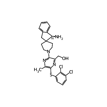 Cc1nc(N2CCC3(CC2)Cc2ccccc2[C@H]3N)c(CO)nc1Sc1cccc(Cl)c1Cl